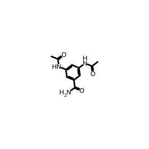 CC(=O)Nc1cc(NC(C)=O)cc(C(N)=O)c1